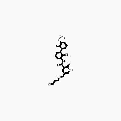 COc1cccc(-c2cccc(NC(=O)c3cc(CNCCC=O)c[nH]c3=O)c2C)c1F